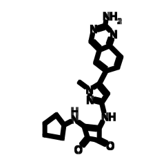 Cn1nc(Nc2c(NC3CCCC3)c(=O)c2=O)cc1-c1ccc2nc(N)ncc2c1